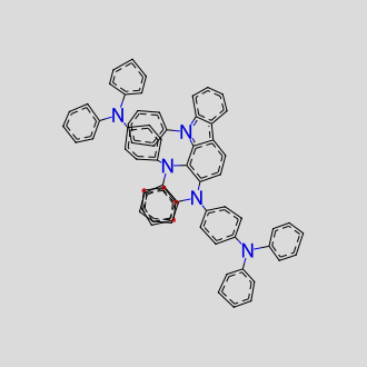 c1ccc(N(c2ccccc2)c2ccc(N(c3ccccc3)c3ccc4c5ccccc5n(-c5ccccc5)c4c3N(c3ccccc3)c3ccc(N(c4ccccc4)c4ccccc4)cc3)cc2)cc1